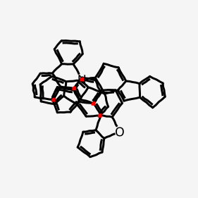 C1=CC2(C3=Cc4ccccc4C3=C1)C1=Cc3ccccc3C1=CC=C2N(c1ccccc1-c1ccccc1-c1ccccc1)c1ccccc1-c1cccc2oc3ccccc3c12